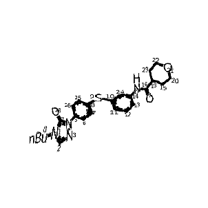 CCCCn1cnn(-c2ccc(Sc3cccc(NC(=O)C4CCOCC4)c3)cc2)c1=O